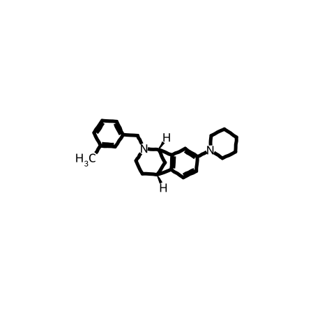 Cc1cccc(CN2CC[C@@H]3C[C@H]2c2cc(N4CCCCC4)ccc23)c1